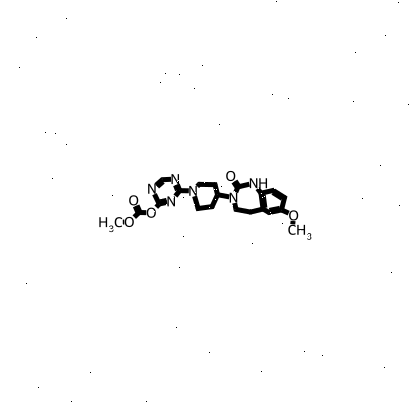 COC(=O)Oc1ncnc(N2CCC(N3CCc4cc(OC)ccc4NC3=O)CC2)n1